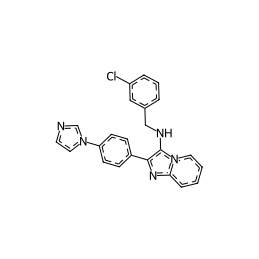 Clc1cccc(CNc2c(-c3ccc(-n4ccnc4)cc3)nc3ccccn23)c1